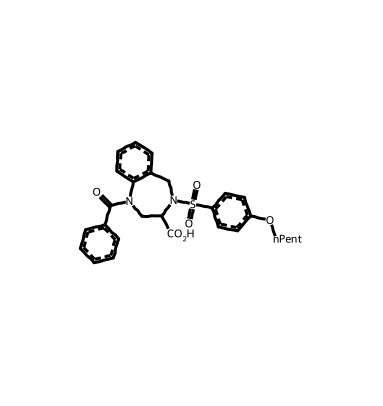 CCCCCOc1ccc(S(=O)(=O)N2Cc3ccccc3N(C(=O)c3ccccc3)CC2C(=O)O)cc1